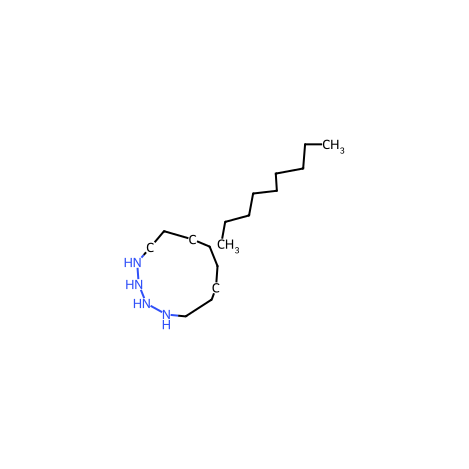 C1CCCCNNNNCCC1.CCCCCCCCC